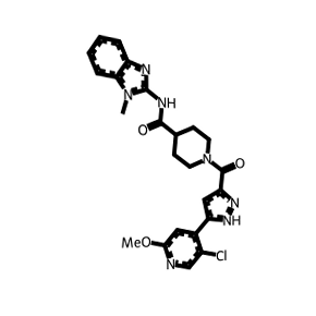 COc1cc(-c2cc(C(=O)N3CCC(C(=O)Nc4nc5ccccc5n4C)CC3)n[nH]2)c(Cl)cn1